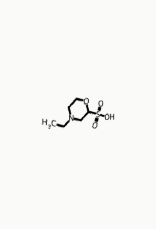 CCN1CCOC(S(=O)(=O)O)C1